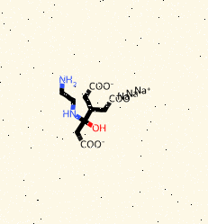 NCCNC(O)(CC(=O)[O-])C(CC(=O)[O-])CC(=O)[O-].[Na+].[Na+].[Na+]